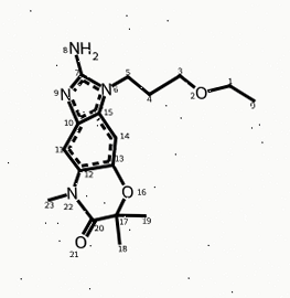 CCOCCCn1c(N)nc2cc3c(cc21)OC(C)(C)C(=O)N3C